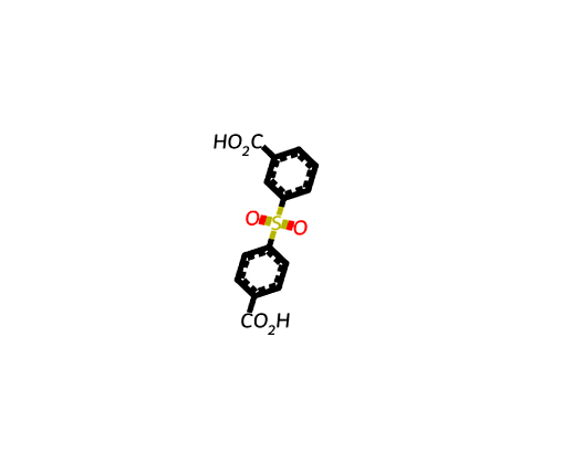 O=C(O)c1ccc(S(=O)(=O)c2cccc(C(=O)O)c2)cc1